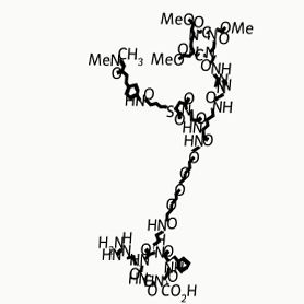 CN/C(C)=C\C(=O)CCc1ccc(NC(=O)CCCCSC2CC(=O)N(CCC(=O)NC(CCCCNC(=O)Cn3cc(CNC(=O)CN4CCN(CC(=O)OC)CCN(CC(=O)OC)CCN(CC(=O)OC)CC4)nn3)C(=O)NCCOCCOCCOCCOCCC(=O)NCCCC[C@@H]3NC(=O)[C@@H](Cc4ccccc4)NC(=O)[C@H](CC(=O)O)NC(=O)CNC(=O)[C@H](CCCNC(=N)N)NC3=O)C2=O)cc1